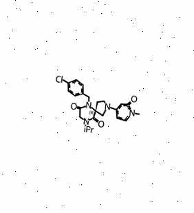 CC(C)N1CC(=O)N(Cc2ccc(Cl)cc2)[C@@]2(CCN(c3ccn(C)c(=O)c3)C2)C1=O